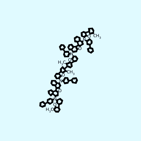 Cc1cccc2c1oc1c(N(c3ccc(-c4ccccc4)cc3)c3cc4oc5cc(N(c6ccc(-c7ccccc7)cc6)c6cccc7c6oc6c(C)c(-c8ccc9c(oc%10c(N(c%11cccc(-c%12ccccc%12)c%11)c%11cc%12oc%13cc(N(c%14cccc(-c%15ccccc%15)c%14)c%14cccc%15c%14oc%14c(C)cccc%14%15)c%14ccccc%14c%13c%12c%12ccccc%11%12)cccc%109)c8C)ccc67)c6ccccc6c5c4c4ccccc34)cccc12